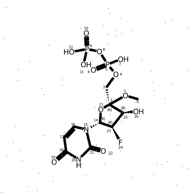 CO[C@]1(COP(=O)(O)OP(=O)(O)O)O[C@@H](n2ccc(=O)[nH]c2=O)[C@H](F)[C@@H]1O